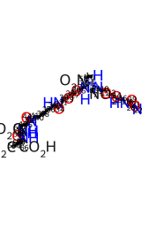 C=C/C(=C(\C=C(/C[N+](=O)[O-])NCCOCCOCCNC(=O)CON)NCCOCCOCCNC(=O)CCCCCCCNC(=O)CC[C@H](NC(=O)N[C@@H](CCC(=O)O)C(=O)O)C(=O)O)[N+](=O)[O-]